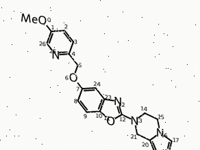 COc1ccc(COc2ccc3oc(N4CCn5cncc5C4)nc3c2)nc1